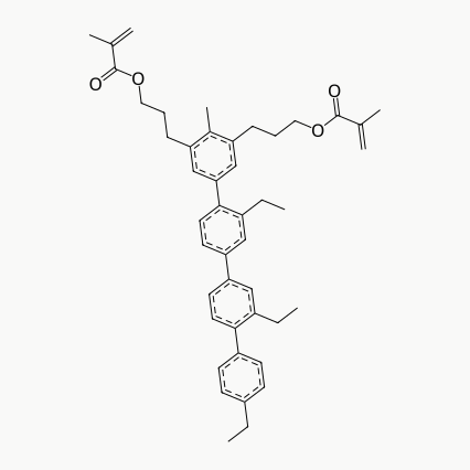 C=C(C)C(=O)OCCCc1cc(-c2ccc(-c3ccc(-c4ccc(CC)cc4)c(CC)c3)cc2CC)cc(CCCOC(=O)C(=C)C)c1C